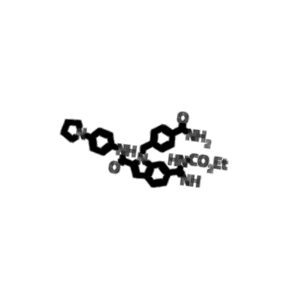 CCOC(=O)NC(=N)c1ccc2cc(C(=O)Nc3ccc(N4CCCC4)cc3)n(Cc3ccc(C(N)=O)cc3)c2c1